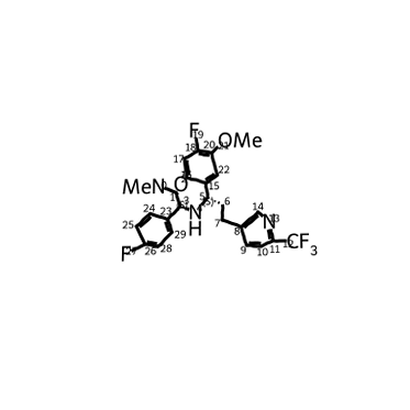 CNC(=O)[C@@H](N[C@@H](CCc1ccc(C(F)(F)F)nc1)c1ccc(F)c(OC)c1)c1ccc(F)cc1